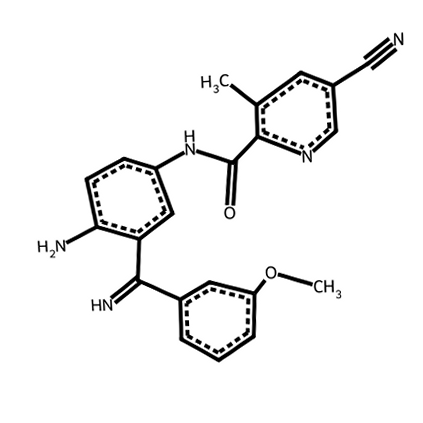 COc1cccc(C(=N)c2cc(NC(=O)c3ncc(C#N)cc3C)ccc2N)c1